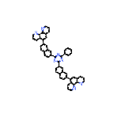 c1ccc(-c2nc(-c3ccc4ccc(-c5cc6cccnc6c6ncccc56)cc4c3)nc(-c3ccc4ccc(-c5cc6cccnc6c6ncccc56)cc4c3)n2)cc1